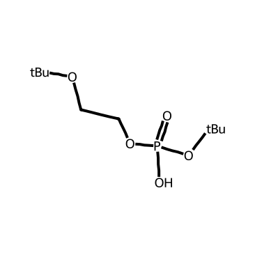 CC(C)(C)OCCOP(=O)(O)OC(C)(C)C